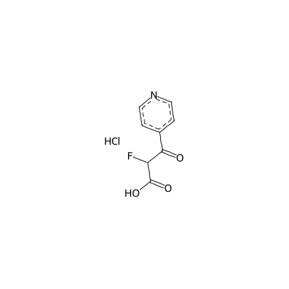 Cl.O=C(O)C(F)C(=O)c1ccncc1